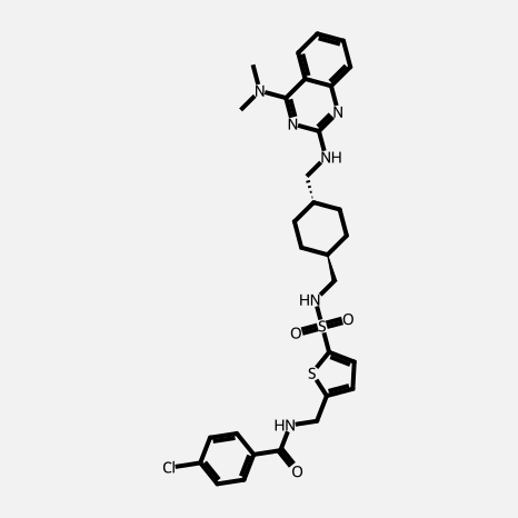 CN(C)c1nc(NC[C@H]2CC[C@H](CNS(=O)(=O)c3ccc(CNC(=O)c4ccc(Cl)cc4)s3)CC2)nc2ccccc12